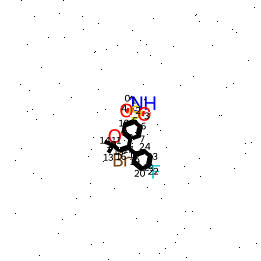 CNS(=O)(=O)c1ccc2c(c1)OC(C)(C)C(Br)=C2c1ccc(F)cc1